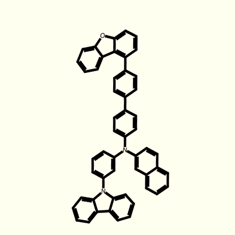 c1cc(N(c2ccc(-c3ccc(-c4cccc5oc6ccccc6c45)cc3)cc2)c2ccc3ccccc3c2)cc(-n2c3ccccc3c3ccccc32)c1